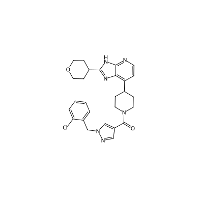 O=C(c1cnn(Cc2ccccc2Cl)c1)N1CCC(c2ccnc3[nH]c(C4CCOCC4)nc23)CC1